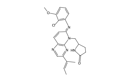 C/C=C(\C)c1cnc2cc/c(=N\c3cccc(OC)c3Cl)n(CC3CCC(=O)N3)c2n1